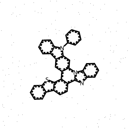 c1ccc(-n2c3ccccc3c3cc4c5c(ccc6c7ccccc7sc65)c5nc6ccccc6n5c4cc32)cc1